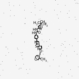 C[C@H]1COCCN1CCOc1ccc2c(n1)sc1nc(-c3ccc(NC(=O)Nc4cc(C(C)(C)C)on4)cc3)cn12